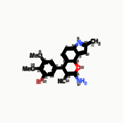 COc1cc(C2C3=CC=C4N=C(C)C=C4C3OC(N)=C2C#N)cc(Br)c1OC